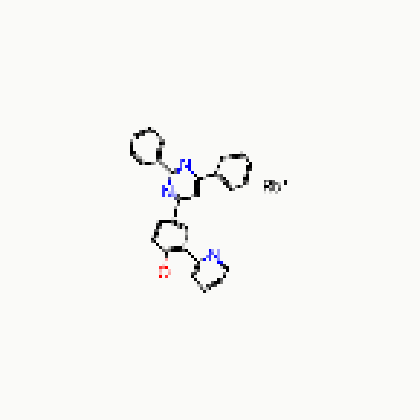 [O-]c1ccc(-c2cc(-c3ccccc3)nc(-c3ccccc3)n2)cc1-c1ccccn1.[Rb+]